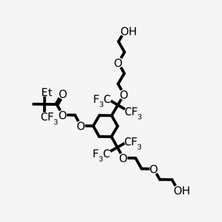 CCC(C)(C(=O)OCOC1CC(C(OCCOCCO)(C(F)(F)F)C(F)(F)F)CC(C(OCCOCCO)(C(F)(F)F)C(F)(F)F)C1)C(F)(F)F